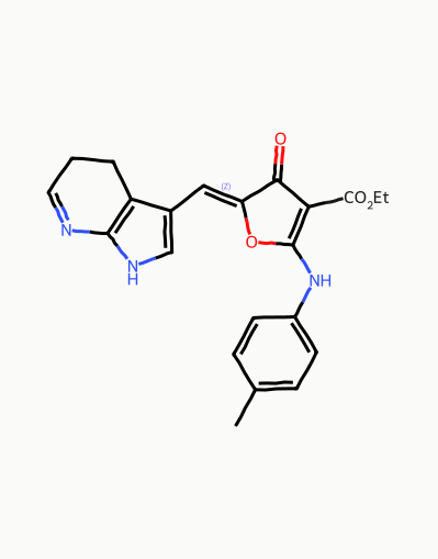 CCOC(=O)C1=C(Nc2ccc(C)cc2)O/C(=C\c2c[nH]c3c2CCC=N3)C1=O